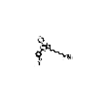 O=C(CCCCCCn1cnc2c(N3CCOCC3)nc(-c3cccc(OCCO)c3)nc21)NO